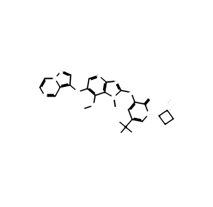 COc1c(Oc2cnn3ccncc23)cnc2nc(Nc3cc(C(F)(F)F)cn([C@H]4CC[C@H]4O)c3=O)n(C)c12